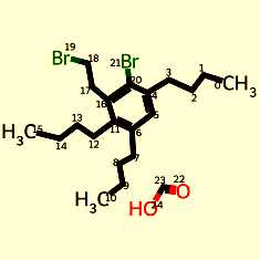 CCCCc1cc(CCCC)c(CCCC)c(CCBr)c1Br.O=CO